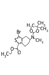 CCOC(=O)c1sc(Br)c2c1CCC(N(C)C(=O)OC(C)(C)C)C2